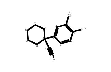 N#CC1(c2ccc(F)c(Cl)c2)CCCCC1